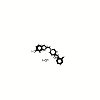 Cc1ccccc1CC1(O)CCN(CC2Cc3ccc(O)cc3O2)CC1.Cl